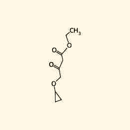 CCOC(=O)CC(=O)COC1CC1